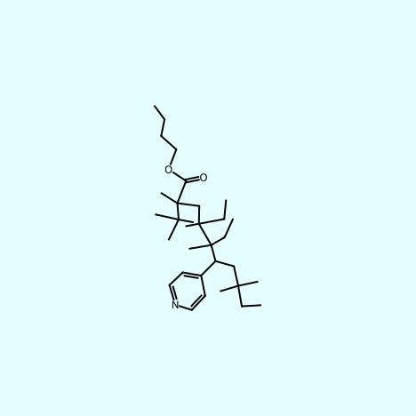 CCCCOC(=O)C(C)(CC(C)(CC)C(C)(CC)C(CC(C)(C)CC)c1ccncc1)C(C)(C)C